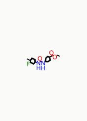 CCOC(=O)c1ccc(NC(=O)Nc2ccc(C)c(F)c2)cc1